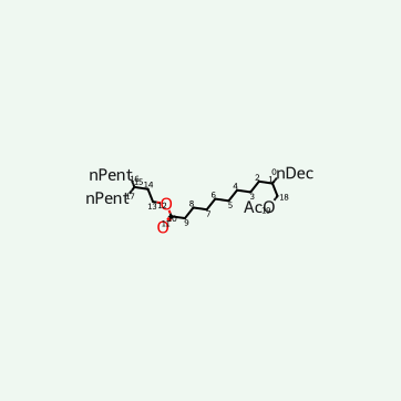 CCCCCCCCCCC(CCCCCCCCC(=O)OCCC(CCCCC)CCCCC)COC(C)=O